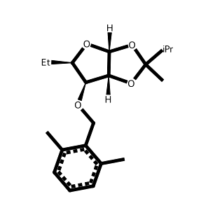 CC[C@H]1O[C@@H]2OC(C)(C(C)C)O[C@@H]2[C@H]1OCc1c(C)cccc1C